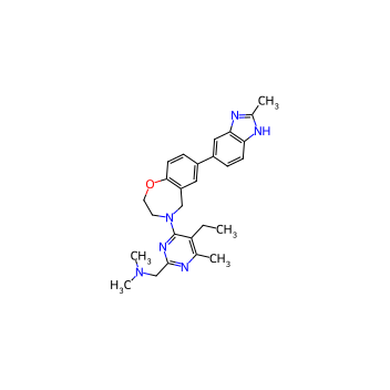 CCc1c(C)nc(CN(C)C)nc1N1CCOc2ccc(-c3ccc4[nH]c(C)nc4c3)cc2C1